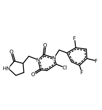 O=C1NCCC1Cn1c(=O)cc(Cl)n(Cc2cc(F)c(F)cc2F)c1=O